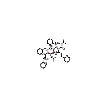 CC(C)[C@H](N)C(=O)N(C(=O)C=Cc1ccccn1)[C@@H](Cc1ccccc1)[C@@H](O)[C@H](O)[C@H](Cc1ccccc1)N(C(=O)C=Cc1ccccn1)C(=O)[C@@H](N)C(C)C